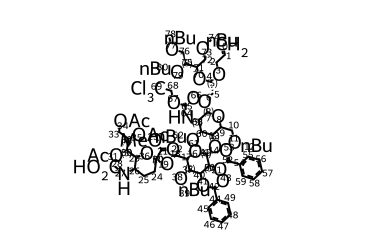 C=CCO[C@H](CO[C@@H]1OC(COCCCC)[C@@H](O[C@@H]2OC(CO[C@]3(C(=O)OC)CCC(NC(=O)O)C([C@H](OC(C)=O)[C@@H](COC(C)=O)OC(C)=O)O3)[C@H](OCCCC)C(OC(=O)c3ccccc3)[C@@H]2OC(=O)c2ccccc2)C(OCCCC)[C@@H]1NC(=O)OCC(Cl)(Cl)Cl)OC(COCCCC)[C@H](COCCCC)OCCCC